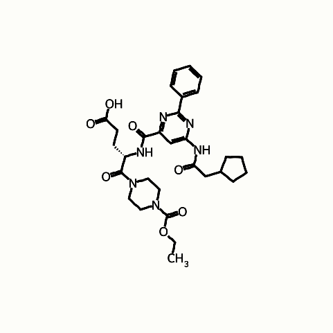 CCOC(=O)N1CCN(C(=O)[C@H](CCC(=O)O)NC(=O)c2cc(NC(=O)CC3CCCC3)nc(-c3ccccc3)n2)CC1